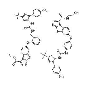 CC(C)(C)c1cc(NC(=O)Nc2ccc(Sc3ccc4c(c3)sc3ncc(C(=O)NCCO)n34)cc2)n(-c2ccc(O)cc2)n1.CCOC(=O)c1cnc2sc3cc(Oc4ccccc4CNC(=O)Nc4cc(C(C)(C)C)nn4-c4ccc(OC)cc4)ccc3n12